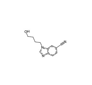 N#Cc1ccc2ncn(CCCCO)c2c1